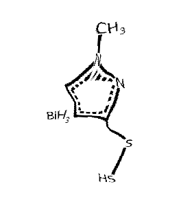 Cn1ccc(SS)n1.[BiH3]